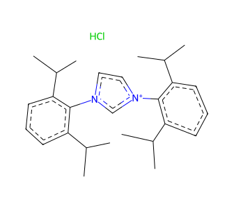 CC(C)c1cccc(C(C)C)c1-n1cc[n+](-c2c(C(C)C)cccc2C(C)C)c1.Cl